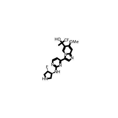 COc1cc2ncc(-c3ccnc(N[C@H]4CNC[C@@H]4F)n3)n2cc1C(C)(O)C(F)(F)F